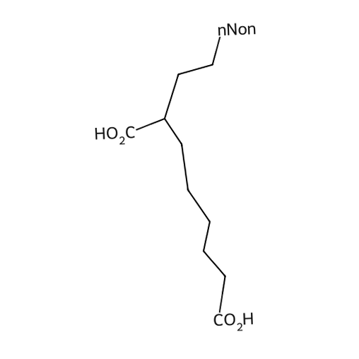 CCCCCCCCCCCC(CCCCCC(=O)O)C(=O)O